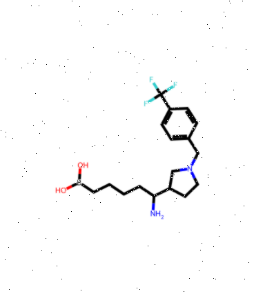 NC(CCCCB(O)O)C1CCN(Cc2ccc(C(F)(F)F)cc2)C1